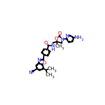 CC(C)c1cc(C#N)cc2nc(-c3ccc(C(=O)NCC4(C)CN(c5ccc(N)cn5)C(=O)O4)cc3)oc12